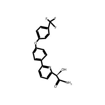 NC(=O)[C@H](O)c1cccc(-c2ccc(Oc3ccc(C(F)(F)F)cc3)cc2)n1